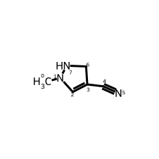 CN1C=C(C#N)CN1